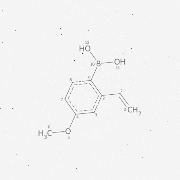 C=Cc1cc(OC)ccc1B(O)O